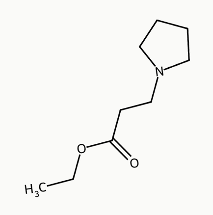 CCOC(=O)CCN1CCCC1